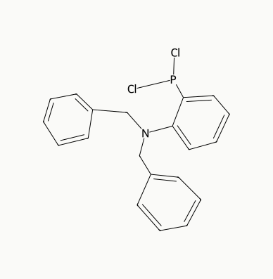 ClP(Cl)c1ccccc1N(Cc1ccccc1)Cc1ccccc1